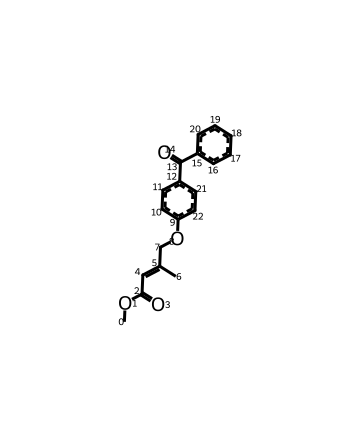 COC(=O)/C=C(\C)COc1ccc(C(=O)c2ccccc2)cc1